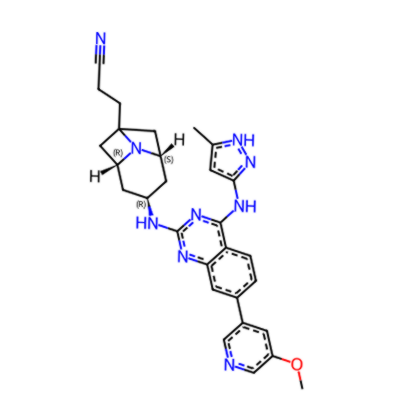 COc1cncc(-c2ccc3c(Nc4cc(C)[nH]n4)nc(N[C@H]4C[C@@H]5CC6(CCC#N)C[C@H](C4)N56)nc3c2)c1